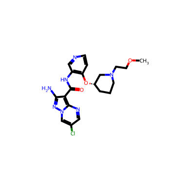 COCCN1CCC[C@H](Oc2ccncc2NC(=O)c2c(N)nn3cc(Cl)cnc23)C1